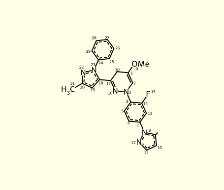 COC1=CN(c2ccc(-n3cccn3)cc2F)N=C(c2cc(C)nn2-c2ccccc2)C1